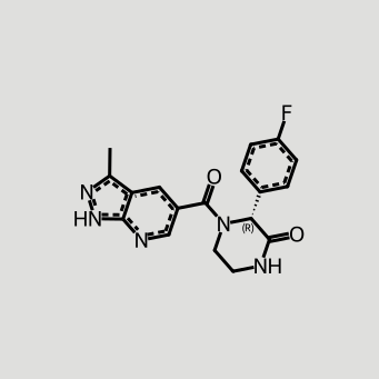 Cc1n[nH]c2ncc(C(=O)N3CCNC(=O)[C@H]3c3ccc(F)cc3)cc12